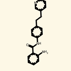 Nc1ccccc1C(=O)Nc1ccc(C[CH]c2cccnc2)cc1